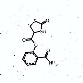 NC(=O)c1ccccc1OC(=O)C1CSC(=O)N1